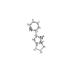 c1ccc(-c2cc3n(n2)CCC3)nc1